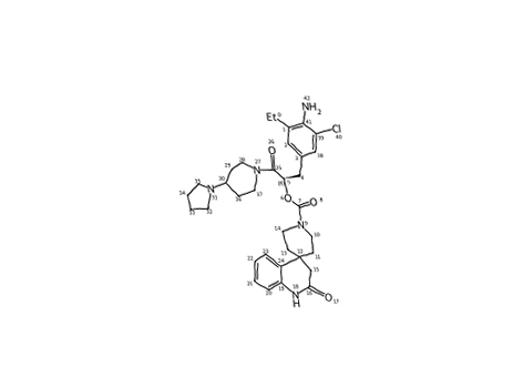 CCc1cc(C[C@@H](OC(=O)N2CCC3(CC2)CC(=O)Nc2ccccc23)C(=O)N2CCC(N3CCCC3)CC2)cc(Cl)c1N